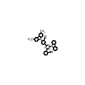 Cc1ccc2c(c1)c1cc(C)ccc1n2-c1ccc(-c2nc(-c3ccccc3C#N)nc(-n3c4ccccc4c4ccccc43)n2)cc1C#N